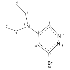 CCN(CC)c1cnnc(Br)c1